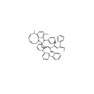 C\C=C(/C=C(CC)/C(N)=C/C=C\CN1C/C=C\C=C/C(C)c2ccc(C)c(N(C3=CC=CC(c4cccc(-c5ccccc5)c4)N3)c3cc#ccc3)c21)c1ccccc1